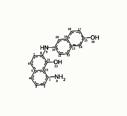 Nc1cccc2ccc(Nc3ccc4cc(O)ccc4c3)c(O)c12